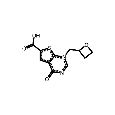 O=C(O)c1cc2c(=O)ncn(CC3CCO3)c2s1